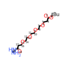 CC(C)(C)OC(=O)CCOCCOCCOCCOCCC(=O)NN